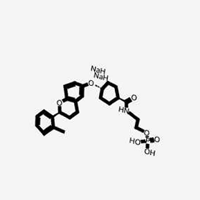 Cc1ccccc1[C@@H]1CCc2cc(O[C@H]3CC[C@H](C(=O)NCCOP(=O)(O)O)CC3)ccc2O1.[NaH].[NaH]